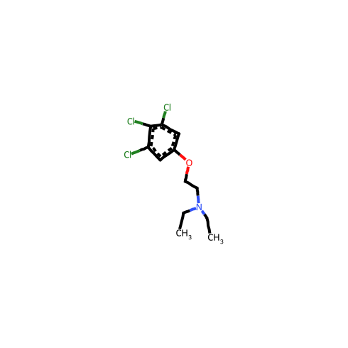 CCN(CC)CCOc1cc(Cl)c(Cl)c(Cl)c1